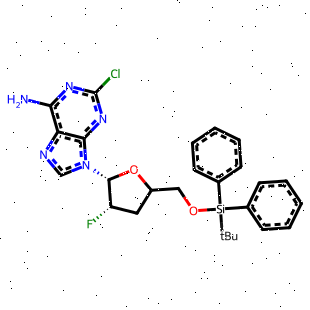 CC(C)(C)[Si](OCC1C[C@H](F)[C@H](n2cnc3c(N)nc(Cl)nc32)O1)(c1ccccc1)c1ccccc1